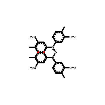 COc1cc([SiH](O[SiH](c2ccc(C)c(OC)c2)c2ccc(C)c(OC)c2)c2ccc(C)c(OC)c2)ccc1C